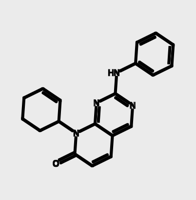 O=c1ccc2cnc(Nc3ccccc3)nc2n1C1C=CCCC1